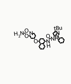 CC(C)(C)c1cc(NC(=O)Nc2ccc(Oc3ccnc(OC(N)=O)c3)c3ccccc23)n(-c2ccccc2)n1